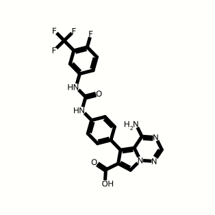 Nc1ncnn2cc(C(=O)O)c(-c3ccc(NC(=O)Nc4ccc(F)c(C(F)(F)F)c4)cc3)c12